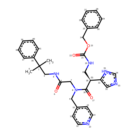 CC(C)(CNC(=O)CN(Cc1ccncc1)C(=O)[C@@H](CNC(=O)OCc1ccccc1)c1cnc[nH]1)c1ccccc1